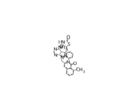 Cc1cccc2cc(CN3N=C(/C=C4/SC(=O)NC4=O)C4C(N)=NC=NC43)n(-c3ccccc3F)c(=O)c12